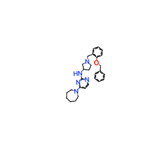 c1ccc(COc2ccccc2CN2CCC(Nc3nccc(N4CCCCCC4)n3)C2)cc1